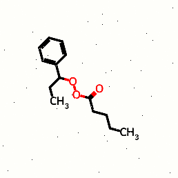 CCCCC(=O)OOC(CC)c1ccccc1